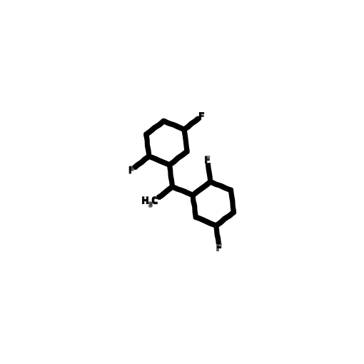 CC(C1CC(F)CCC1F)C1CC(F)CCC1F